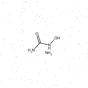 N.NC(=O)NO